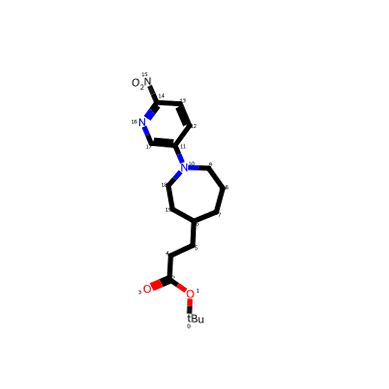 CC(C)(C)OC(=O)CCC1CCCN(c2ccc([N+](=O)[O-])nc2)CC1